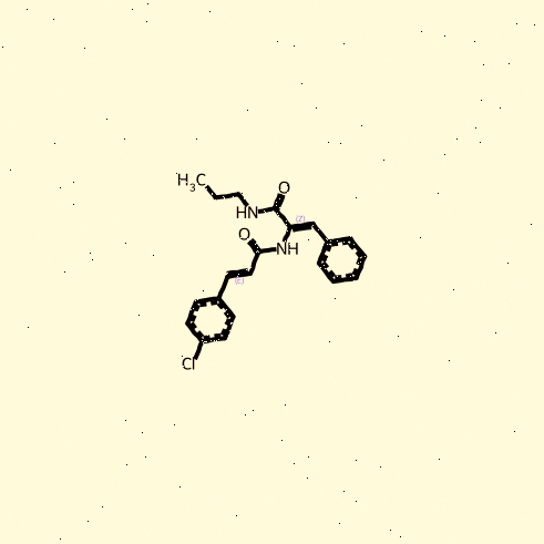 CCCNC(=O)/C(=C/c1ccccc1)NC(=O)/C=C/c1ccc(Cl)cc1